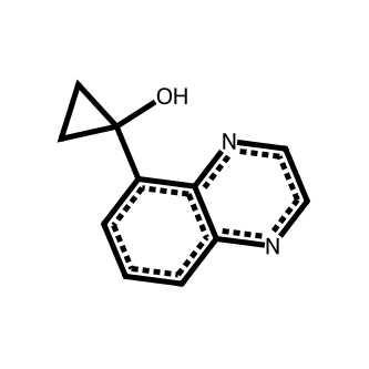 OC1(c2cccc3nccnc23)CC1